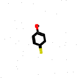 [O]C1=CCC(=S)C=C1